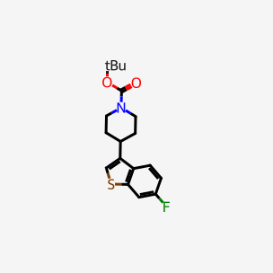 CC(C)(C)OC(=O)N1CCC(c2csc3cc(F)ccc23)CC1